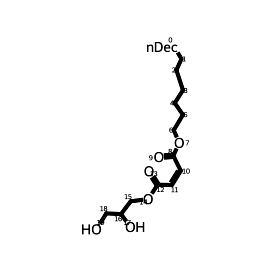 CCCCCCCCCCCCCCCCOC(=O)/C=C\C(=O)OCC(O)CO